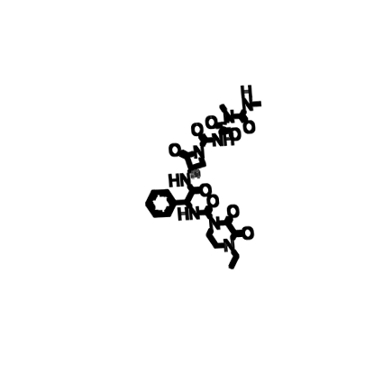 CCN1CCN(C(=O)NC(C(=O)N[C@H]2CN(C(=O)NS(=O)(=O)N(C)C(=O)NC)C2=O)c2ccccc2)C(=O)C1=O